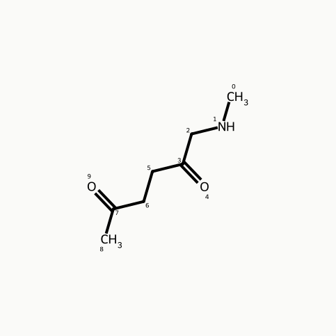 CNCC(=O)CCC(C)=O